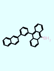 BC1=c2ccccc2=C(c2cccc(-c3ccc4ccccc4c3)c2)C2C=CC=CC12